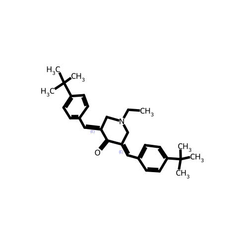 CCN1C/C(=C\c2ccc(C(C)(C)C)cc2)C(=O)/C(=C/c2ccc(C(C)(C)C)cc2)C1